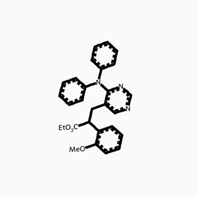 CCOC(=O)C(Cc1cncnc1N(c1ccccc1)c1ccccc1)c1ccccc1OC